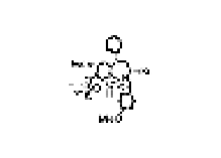 CCCCC1CN(c2ccccc2)c2cc(SC)c(OS(=O)(=O)C(F)(F)F)cc2S(O)(O)N1Cc1ccc(OC)cc1